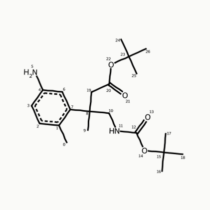 Cc1ccc(N)cc1C(C)(CNC(=O)OC(C)(C)C)CC(=O)OC(C)(C)C